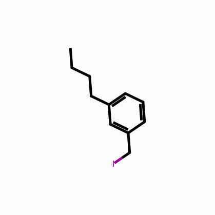 CCCCc1cccc(CI)c1